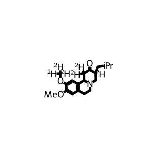 [2H]C([2H])([2H])Oc1cc2c(cc1OC)CCN1CC([2H])(CC(C)C)C(=O)C([2H])([2H])C21